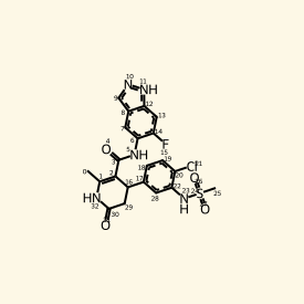 CC1=C(C(=O)Nc2cc3cn[nH]c3cc2F)C(c2ccc(Cl)c(NS(C)(=O)=O)c2)CC(=O)N1